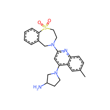 Cc1ccc2nc(N3CCS(=O)(=O)c4ccccc4C3)cc(N3CCC(N)C3)c2c1